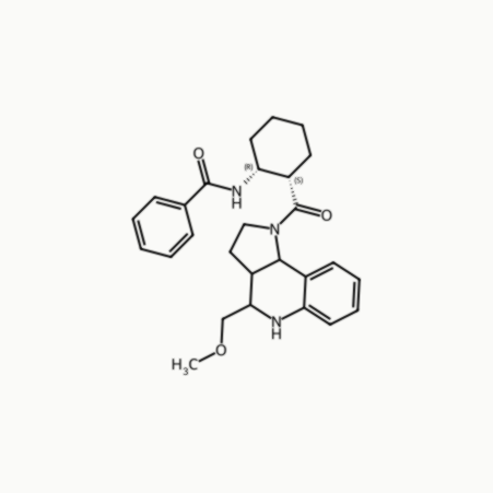 COCC1Nc2ccccc2C2C1CCN2C(=O)[C@H]1CCCC[C@H]1NC(=O)c1ccccc1